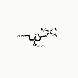 CCCCCCCCCC[N+](C)(C)CCO[Si](C)(C)C.[Br-]